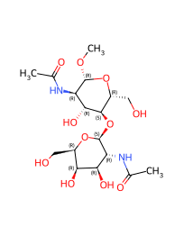 CO[C@@H]1O[C@H](CO)[C@@H](O[C@@H]2O[C@H](CO)[C@H](O)[C@H](O)[C@H]2NC(C)=O)[C@H](O)[C@H]1NC(C)=O